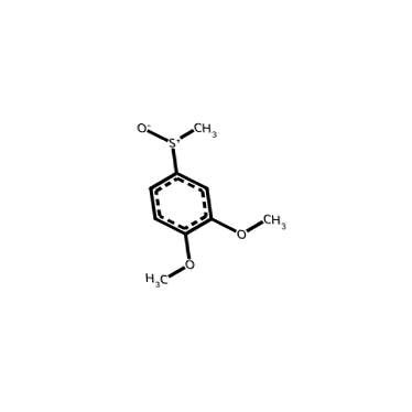 COc1ccc([S+](C)[O-])cc1OC